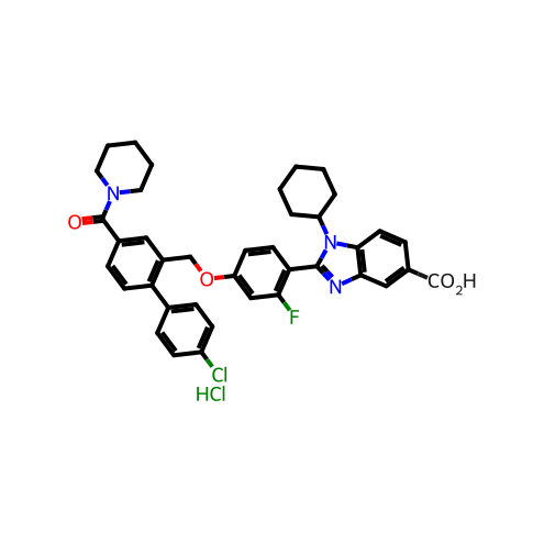 Cl.O=C(O)c1ccc2c(c1)nc(-c1ccc(OCc3cc(C(=O)N4CCCCC4)ccc3-c3ccc(Cl)cc3)cc1F)n2C1CCCCC1